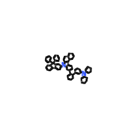 c1ccc(N(c2ccccc2)c2cccc(-c3ccccc3-c3ccc4c5c6ccccc6ccc5n(-c5ccc6c(c5)C(c5ccccc5)(c5ccccc5)c5ccccc5-6)c4c3)c2)cc1